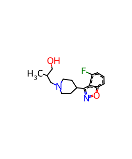 CC(CO)CN1CCC(c2noc3cccc(F)c23)CC1